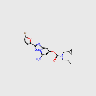 CCCN(CC1CC1)C(=O)Oc1cc(N)n2nc(-c3ccc(Br)o3)nc2c1